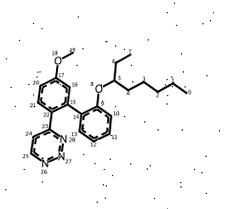 CCCCCC(CC)Oc1ccccc1-c1cc(OC)ccc1-c1ccnnn1